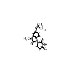 CN(C)Cc1ccc2c(c1)n(C)c(=O)n2C1CCC(=O)NC1=O